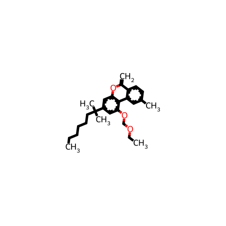 C=C1Oc2cc(C(C)(C)CCCCCC)cc(OCOCC)c2-c2cc(C)ccc21